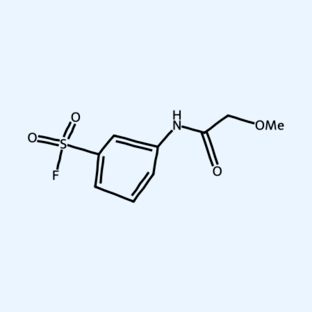 COCC(=O)Nc1cccc(S(=O)(=O)F)c1